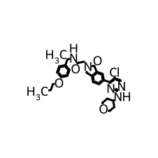 CCCOc1ccc(C(C)NC(=O)CN2Cc3ccc(-c4nc(NC5CCOCC5)ncc4Cl)cc3C2=O)cc1